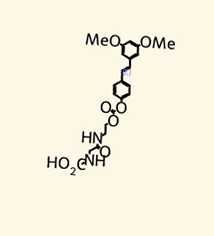 COc1cc(/C=C/c2ccc(OC(=O)OCCNC(=O)CNC(=O)O)cc2)cc(OC)c1